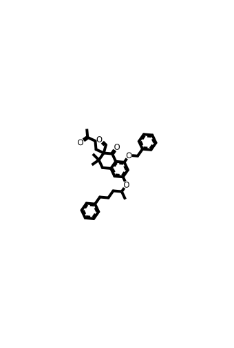 CC(=O)CCC1(C=O)C(=O)c2c(cc(OC(C)CCCc3ccccc3)cc2OCc2ccccc2)CC1(C)C